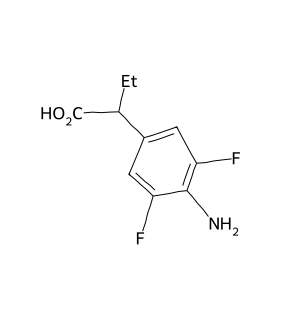 CCC(C(=O)O)c1cc(F)c(N)c(F)c1